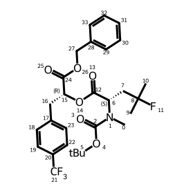 CN(C(=O)OC(C)(C)C)[C@@H](CC(C)(C)F)C(=O)O[C@H](Cc1ccc(C(F)(F)F)cc1)C(=O)OCc1ccccc1